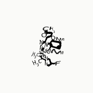 COc1cccc(OC)c1-n1c(NS(=O)(=O)[C@H](C)[C@H](C)c2ncc(F)cn2)nnc1-c1ccc(C)o1